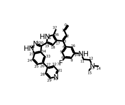 C=C/C=C(/c1cc(F)cc(NCCN(C)C)c1)c1cc(-c2n[nH]c3ccc(-c4ccncc4)cc23)[nH]c1C